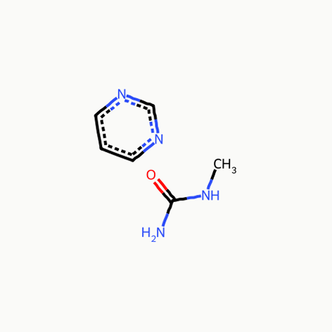 CNC(N)=O.c1cncnc1